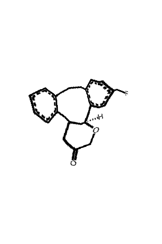 O=C1CO[C@@H]2c3cc(F)ccc3Cc3ccccc3C2C1